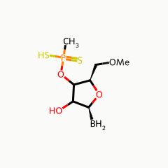 B[C@@H]1O[C@H](COC)C(OP(C)(=S)S)C1O